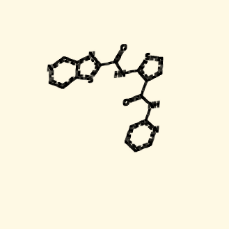 O=C(Nc1sccc1C(=O)Nc1ccccn1)c1nc2cnccc2s1